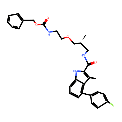 Cc1c(C(=O)NC[C@@H](C)COCCNC(=O)OCc2ccccc2)[nH]c2cccc(-c3ccc(F)cc3)c12